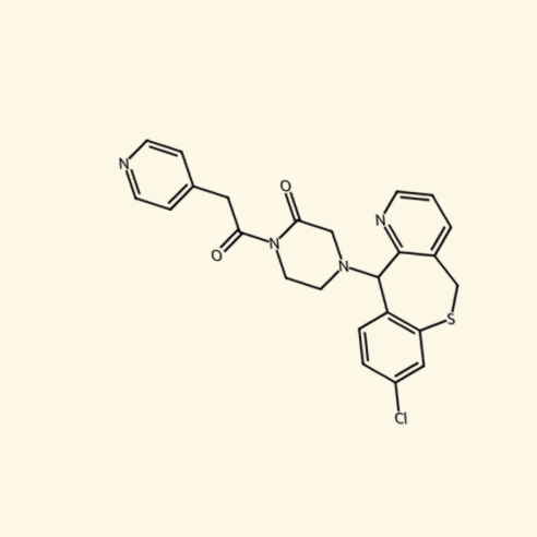 O=C(Cc1ccncc1)N1CCN(C2c3ccc(Cl)cc3SCc3cccnc32)CC1=O